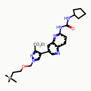 CCOC(=O)c1nn(COCC[Si](C)(C)C)cc1-c1cnc2ccc(NC(=O)NC3CCCC3)nc2c1